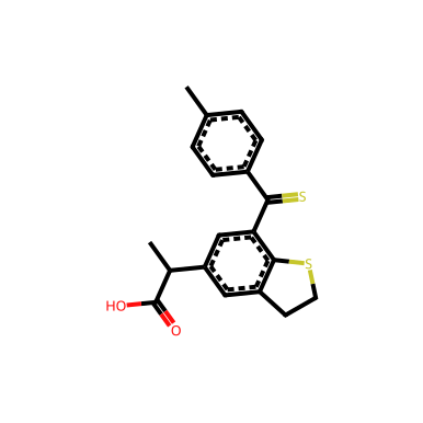 Cc1ccc(C(=S)c2cc(C(C)C(=O)O)cc3c2SCC3)cc1